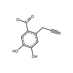 N#CCc1cc(O)c(O)cc1[N+](=O)[O-]